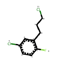 Fc1ccc(Cl)cc1C[CH]CCl